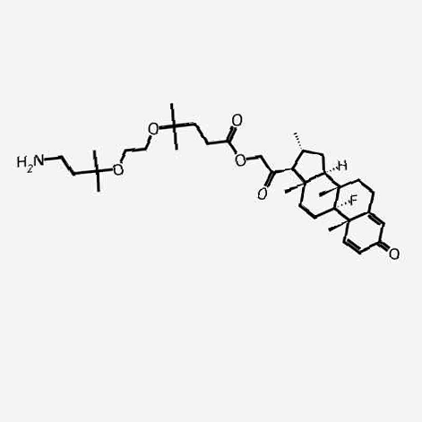 C[C@@H]1C[C@@H]2[C@](C)(CC[C@]3(F)[C@@]4(C)C=CC(=O)C=C4CC[C@@]23C)[C@H]1C(=O)COC(=O)CCC(C)(C)OCCOC(C)(C)CCN